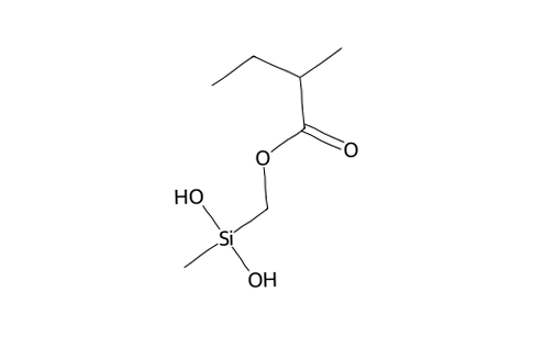 CCC(C)C(=O)OC[Si](C)(O)O